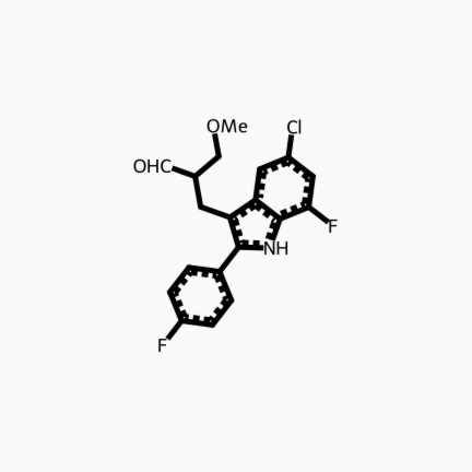 COCC(C=O)Cc1c(-c2ccc(F)cc2)[nH]c2c(F)cc(Cl)cc12